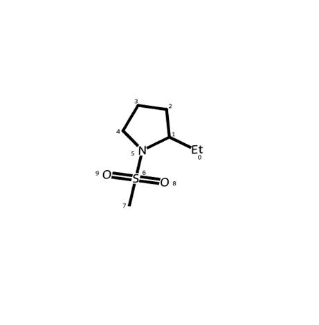 CCC1CCCN1S(C)(=O)=O